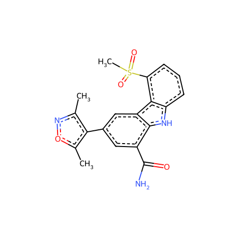 Cc1noc(C)c1-c1cc(C(N)=O)c2[nH]c3cccc(S(C)(=O)=O)c3c2c1